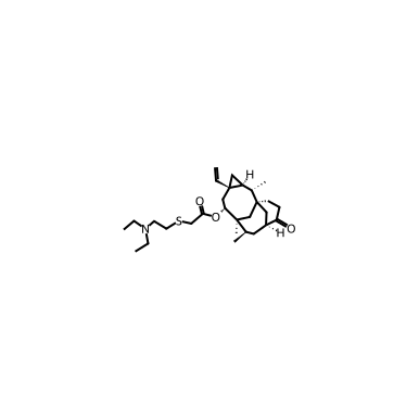 C=C[C@@]12C[C@H]1[C@H](C)[C@]13CCC(=O)[C@@H](C[C@@H](C)[C@](C)(C1)[C@H](OC(=O)CSCCN(CC)CC)C2)C3